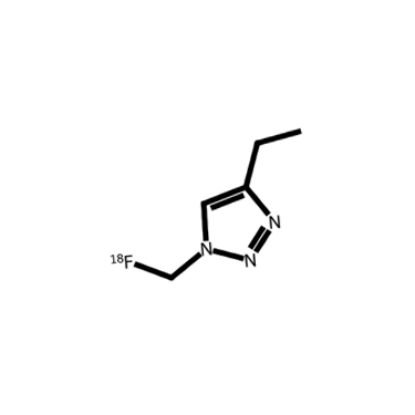 CCc1cn(C[18F])nn1